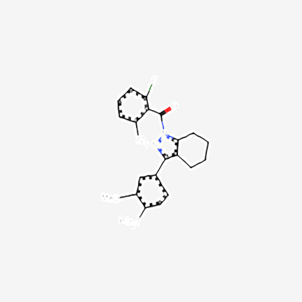 COc1cc(-c2nn(C(=O)c3c(Cl)cccc3C(F)(F)F)c3c2CCCC3)ccc1C(=O)O